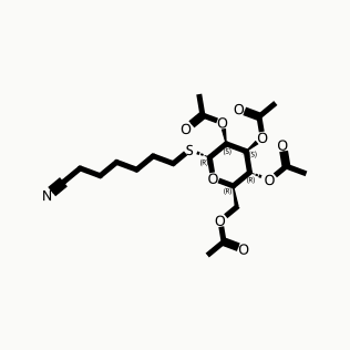 CC(=O)OC[C@H]1O[C@H](SCCCCCCC#N)[C@@H](OC(C)=O)[C@@H](OC(C)=O)[C@@H]1OC(C)=O